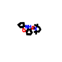 CC1(C)CCCC(C)(C)N1Oc1cccc2c1Nc1ccccc1O2